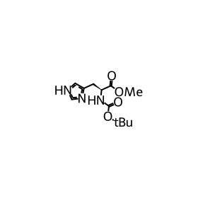 COC(=O)[C@H](Cc1c[nH]cn1)NC(=O)OC(C)(C)C